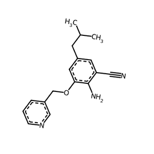 CC(C)Cc1cc(C#N)c(N)c(OCc2cccnc2)c1